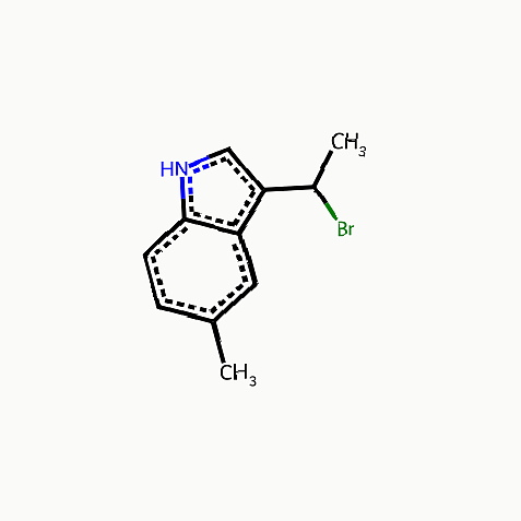 C[C](Br)c1c[nH]c2ccc(C)cc12